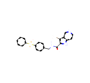 O=C(NCc1ccc(S(=O)(=O)c2ccccc2)cc1)c1[nH]c2ccncc2c1Br